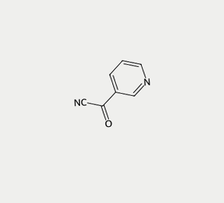 N#CC(=O)c1cccnc1